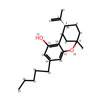 C=C(C)[C@@H]1CCC2(C)CC1c1c(O)cc(CCCCC)cc1O2